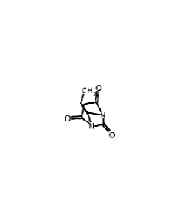 CCC1N2C(=O)CC(=O)N1C2=O